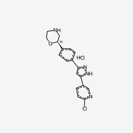 Cl.Clc1ccc(-c2cc(-c3ccc([C@@H]4CNCCO4)cc3)n[nH]2)cn1